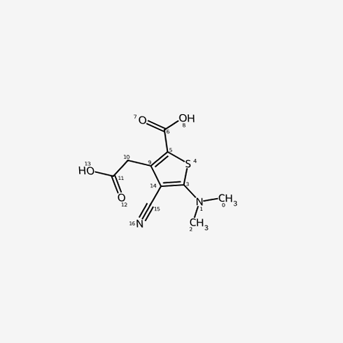 CN(C)c1sc(C(=O)O)c(CC(=O)O)c1C#N